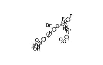 CC[C@@H]([C@H](C)O)n1ncn(-c2ccc(N3CCN(c4ccc(OC[C@@H]5CO[C@@](Cn6c[n+](Cc7ccc(OC(C)=O)c(C)c7)cn6)(c6ccc(F)cc6F)C5)cc4)CC3)cc2)c1=O.[Br-]